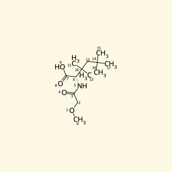 COCC(=O)N[C@H](C(=O)O)C(C)(C)CC(C)(C)C